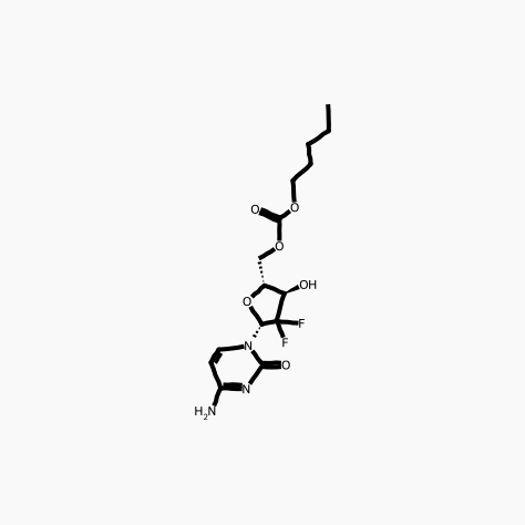 CCCCCOC(=O)OC[C@H]1O[C@@H](n2ccc(N)nc2=O)C(F)(F)[C@@H]1O